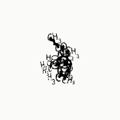 CCCCCOC(=O)OC(C)CC(c1ccc(OC(=O)OC(C)C(C)C)c(OC(=O)OC(C)C(C)C)c1)[C@H](N)C(=O)O